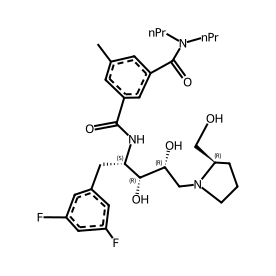 CCCN(CCC)C(=O)c1cc(C)cc(C(=O)N[C@@H](Cc2cc(F)cc(F)c2)[C@@H](O)[C@H](O)CN2CCC[C@@H]2CO)c1